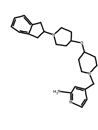 Nc1cc(CN2CCC(OC3CCN(C4Cc5ccccc5C4)CC3)CC2)ccn1